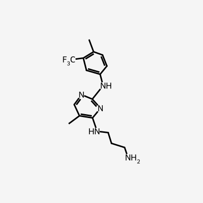 Cc1ccc(Nc2ncc(C)c(NCCCN)n2)cc1C(F)(F)F